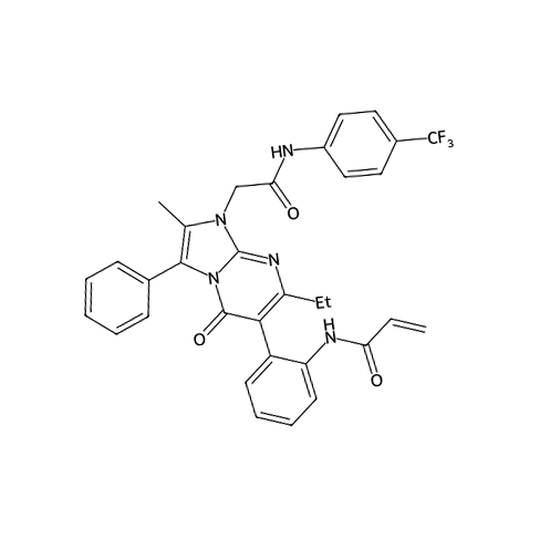 C=CC(=O)Nc1ccccc1-c1c(CC)nc2n(CC(=O)Nc3ccc(C(F)(F)F)cc3)c(C)c(-c3ccccc3)n2c1=O